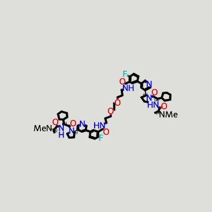 CN[C@@H](C)C(=O)N[C@H](C(=O)N1CCC[C@H]1c1cncc(-c2ccc(F)c(C(=O)NCCCOCCOCCCNC(=O)c3cc(-c4cncc([C@@H]5CCCN5C(=O)[C@@H](NC(=O)[C@H](C)NC)C5CCCCC5)c4)ccc3F)c2)c1)C1CCCCC1